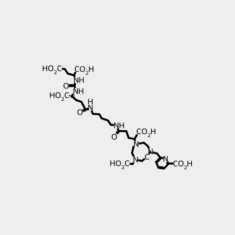 O=C(O)CCC(NC(=O)N[C@H](CCC(=O)NCCCCCNC(=O)CCC(C(=O)O)N1CCN(CC(=O)O)CCN(Cc2cccc(C(=O)O)n2)CC1)C(=O)O)C(=O)O